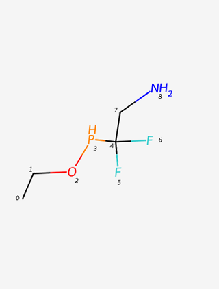 CCOPC(F)(F)CN